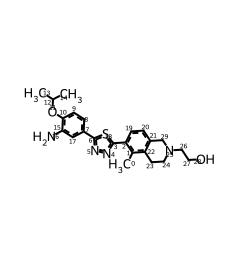 Cc1c(-c2nnc(-c3ccc(OC(C)C)c(N)c3)s2)ccc2c1CCN(CCO)C2